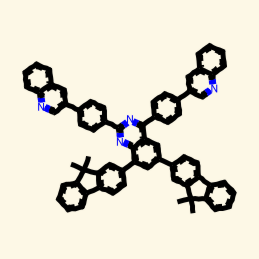 CC1(C)c2ccccc2-c2ccc(-c3cc(-c4ccc5c(c4)C(C)(C)c4ccccc4-5)c4nc(-c5ccc(-c6cnc7ccccc7c6)cc5)nc(-c5ccc(-c6cnc7ccccc7c6)cc5)c4c3)cc21